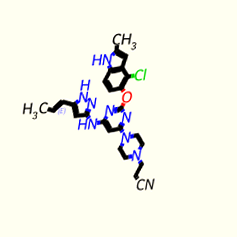 C/C=C/c1cc(Nc2cc(N3CCN(CCC#N)CC3)nc(Oc3ccc4[nH]c(C)cc4c3Cl)n2)n[nH]1